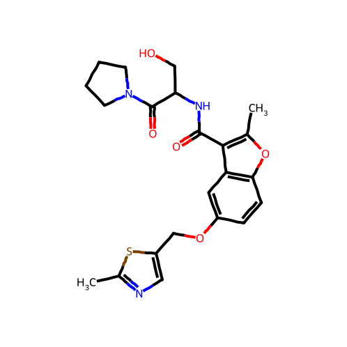 Cc1ncc(COc2ccc3oc(C)c(C(=O)NC(CO)C(=O)N4CCCC4)c3c2)s1